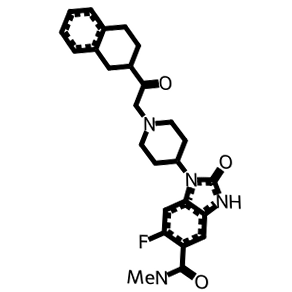 CNC(=O)c1cc2[nH]c(=O)n(C3CCN(CC(=O)C4CCc5ccccc5C4)CC3)c2cc1F